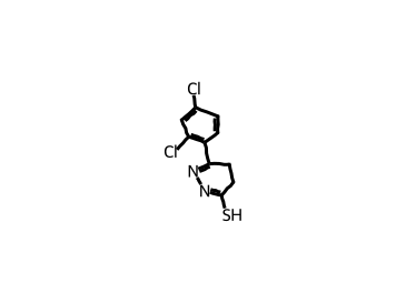 SC1=NN=C(c2ccc(Cl)cc2Cl)CC1